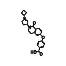 O=C(O)c1ccc(Oc2ccc3c(c2)CCN(C2CCN(C4CCC4)C2)C3=O)cc1